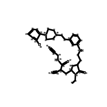 CCN1C(=O)C(CCNc2cccc(CCN3CCN(c4ccccc4Cl)CC3)c2)SC1CC(C#N)C(=O)NCC#N